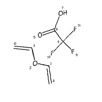 C=COC=C.O=C(O)C(F)(F)F